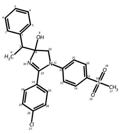 CC(c1ccccc1)C1(O)CN(c2ccc(S(C)(=O)=O)cc2)C(c2ccc(Cl)cc2)=N1